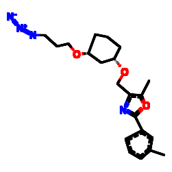 Cc1cccc(-c2nc(CO[C@H]3CCC[C@@H](OCCCN=[N+]=[N-])C3)c(C)o2)c1